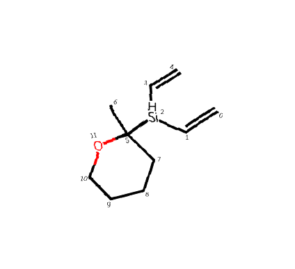 C=C[SiH](C=C)C1(C)CCCCO1